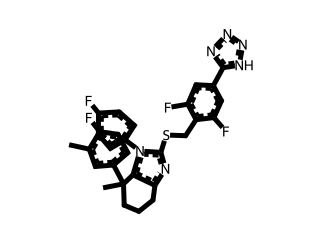 Cc1cc(C2(C)CCCc3nc(SCc4c(F)cc(-c5nnn[nH]5)cc4F)n(-c4ccc(F)cc4)c32)ccc1F